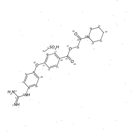 CS(=O)(=O)O.N=C(N)Nc1ccc(Oc2ccc(C(=O)OCC(=O)N3CCCCC3)cc2)cc1